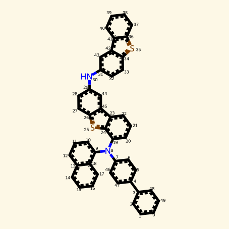 c1ccc(-c2ccc(N(c3cccc4ccccc34)c3cccc4c3sc3ccc(Nc5ccc6sc7ccccc7c6c5)cc34)cc2)cc1